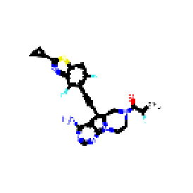 C=C(F)C(=O)N1CCn2c(c(C#Cc3c(F)cc4sc(C5CC5)nc4c3F)c3c(N)ncnc32)C1